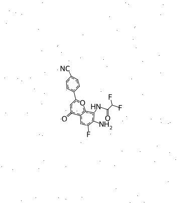 N#Cc1ccc(-c2cc(=O)c3cc(F)c(N)c(NC(=O)C(F)F)c3o2)cc1